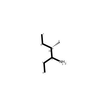 CCC(N)[C@@H](C)CC